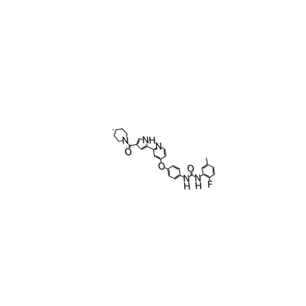 Cc1ccc(F)c(NC(=O)Nc2ccc(Oc3ccnc(-c4cc(C(=O)N5CC[CH]CC5)c[nH]4)c3)cc2)c1